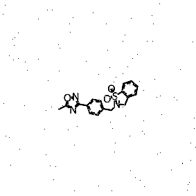 Cc1nc(-c2ccc(CN3Cc4ccccc4S3(=O)=O)cc2)no1